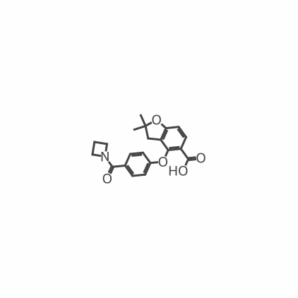 CC1(C)Cc2c(ccc(C(=O)O)c2Oc2ccc(C(=O)N3CCC3)cc2)O1